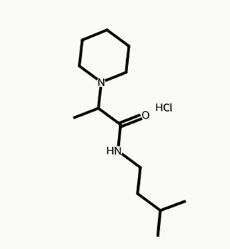 CC(C)CCNC(=O)C(C)N1CCCCC1.Cl